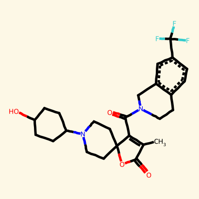 CC1=C(C(=O)N2CCc3ccc(C(F)(F)F)cc3C2)C2(CCN(C3CCC(O)CC3)CC2)OC1=O